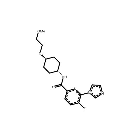 COCCO[C@H]1CC[C@H](NC(=O)c2ccc(F)c(-n3ccnc3)n2)CC1